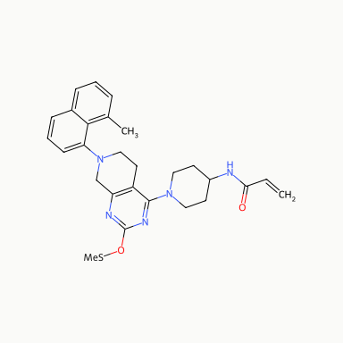 C=CC(=O)NC1CCN(c2nc(OSC)nc3c2CCN(c2cccc4cccc(C)c24)C3)CC1